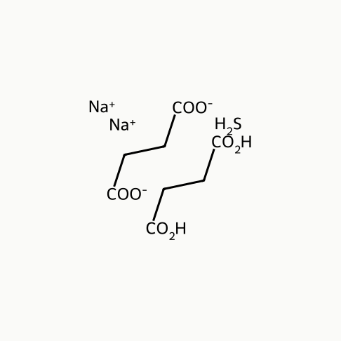 O=C(O)CCC(=O)O.O=C([O-])CCC(=O)[O-].S.[Na+].[Na+]